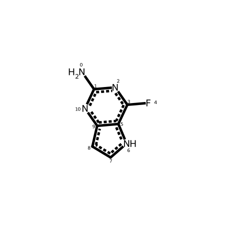 Nc1nc(F)c2[nH]ccc2n1